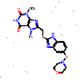 CCCCn1c(=O)[nH]c(=O)c2c1nc(CSc1nc3cc(SN4CCOCC4)ccc3[nH]1)n2CC